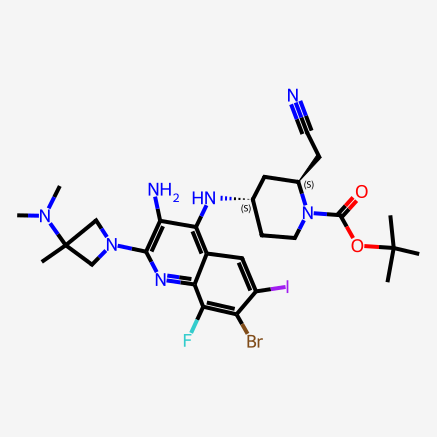 CN(C)C1(C)CN(c2nc3c(F)c(Br)c(I)cc3c(N[C@H]3CCN(C(=O)OC(C)(C)C)[C@H](CC#N)C3)c2N)C1